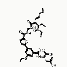 CCCCC[C@@H](C(=O)NCNC(=O)c1ccc(-c2cc(OCC)cc(C(=O)N[C@@H](CC(=O)O)C(=O)O)c2)o1)[C@@H](CC)N(O)C=O